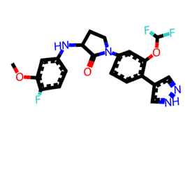 COc1cc(NC2CCN(c3ccc(-c4cn[nH]c4)c(OC(F)F)c3)C2=O)ccc1F